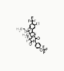 CCOC(=O)C1(C)CN(C(=O)N(C(=O)C(F)(F)F)c2ccc(OC(F)(F)F)cc2)N=C1c1ccc(C(F)(F)F)c(Cl)c1